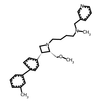 COC[C@@H]1[C@H](c2ccc(-c3cccc(C)c3)cc2)CN1CCCCN(C)Cc1cccnc1